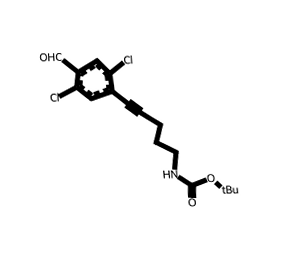 CC(C)(C)OC(=O)NCCCC#Cc1cc(Cl)c(C=O)cc1Cl